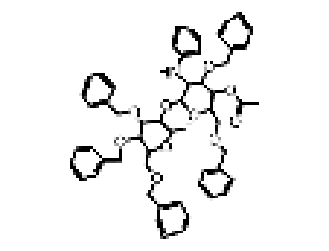 CC(=O)OC1C(COCc2ccccc2)OC(OC2C(F)OC(COCc3ccccc3)C(OCc3ccccc3)C2OCc2ccccc2)C(Nc2ccccc2)C1OCc1ccccc1